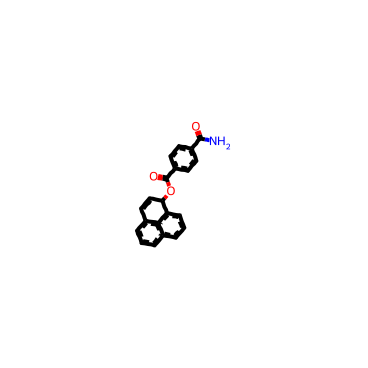 NC(=O)c1ccc(C(=O)OC2C=Cc3cccc4cccc2c34)cc1